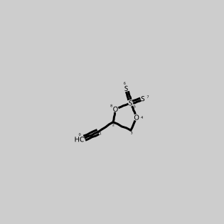 C#CC1COS(=S)(=S)O1